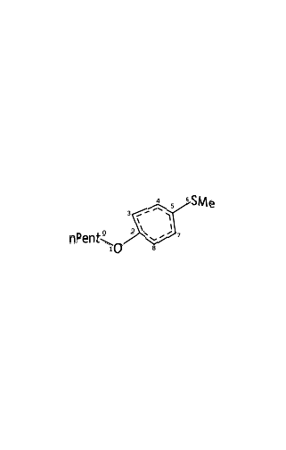 CCCCCOc1ccc(SC)cc1